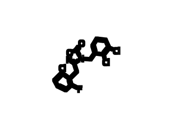 O=c1onc(Cc2c(F)cccc2Cl)n1Cc1cccc(Cl)c1Cl